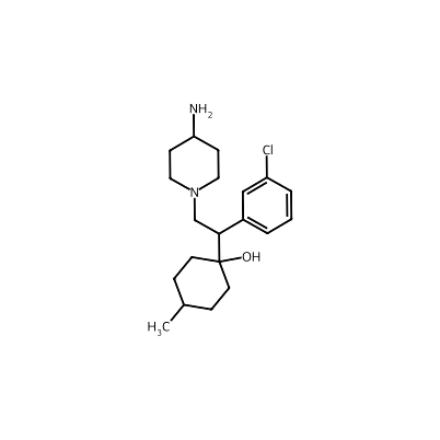 CC1CCC(O)(C(CN2CCC(N)CC2)c2cccc(Cl)c2)CC1